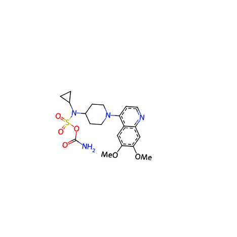 COc1cc2nccc(N3CCC(N(C4CC4)S(=O)(=O)OC(N)=O)CC3)c2cc1OC